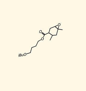 CC(C)COCCCCOC(=O)C1CC2OC2(C)CC1C